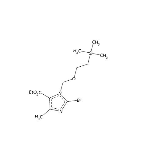 CCOC(=O)c1c(C)nc(Br)n1COCC[Si](C)(C)C